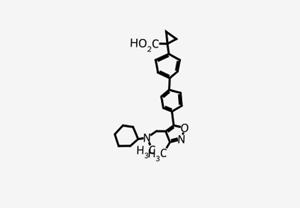 Cc1noc(-c2ccc(-c3ccc(C4(C(=O)O)CC4)cc3)cc2)c1CN(C)C1CCCCC1